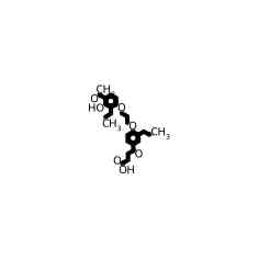 CCCc1cc(C(=O)CCC(=O)O)ccc1OCCCOc1ccc(C(C)=O)c(O)c1CCC